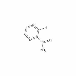 NC(=O)c1nccnc1I